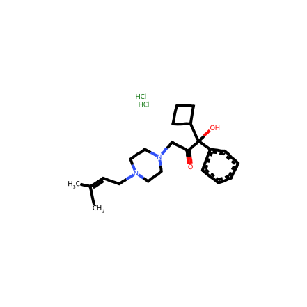 CC(C)=CCN1CCN(CC(=O)C(O)(c2ccccc2)C2CCC2)CC1.Cl.Cl